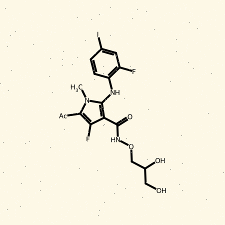 CC(=O)c1c(F)c(C(=O)NOCC(O)CO)c(Nc2ccc(I)cc2F)n1C